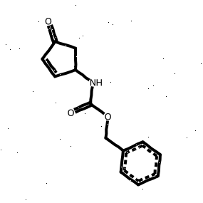 O=C1C=CC(NC(=O)OCc2ccccc2)C1